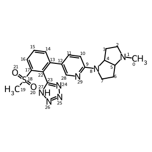 CN1CCC2C1CCN2c1ccc(-c2cccc(S(C)(=O)=O)c2-c2nnn[nH]2)cn1